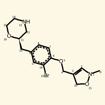 CN1C=C(COc2ccc(C[C@@H]3CNCCO3)cc2Br)CO1